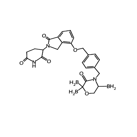 BC1COC(B)(B)C(=O)N1Cc1ccc(COc2cccc3c2CN(C2CCC(=O)NC2=O)C3=O)cc1